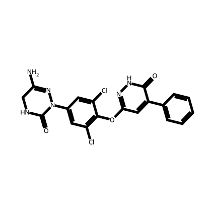 NC1=NN(c2cc(Cl)c(Oc3cc(-c4ccccc4)c(=O)[nH]n3)c(Cl)c2)C(=O)NC1